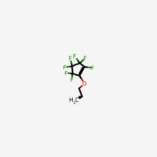 C=CCOC1=C(F)C(F)(F)C(F)(F)C1(F)F